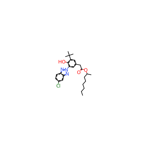 CCCCCCC(C)OC(=O)Cc1cc(-n2nc3ccc(Cl)cc3n2)c(O)c(C(C)(C)C)c1